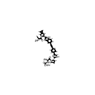 COC(=O)N[C@H](C(=O)N1CCC[C@H]1c1nc(-c2ccc(C#Cc3ccc4[nH]c([C@@H]5CC6(CC6)CN5C(=O)[C@@H](C)C(C)C)nc4c3)cc2)c[nH]1)C(C)C